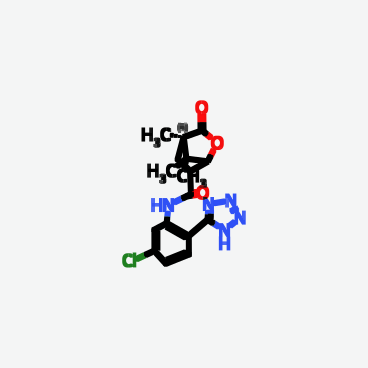 CC1(C)C2OC(=O)[C@]1(C)CC2C(=O)Nc1cc(Cl)ccc1-c1nnn[nH]1